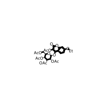 CCOc1ccc2c(O[C@H]3O[C@H](COC(C)=O)[C@@H](OC(C)=O)[C@H](OC(C)=O)[C@@H]3OC(C)=O)c(OC(C)=O)c(=O)oc2c1